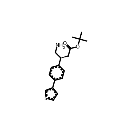 CC(C)(C)OC(=O)C[C@H](CN)c1ccc(-c2ccsc2)cc1